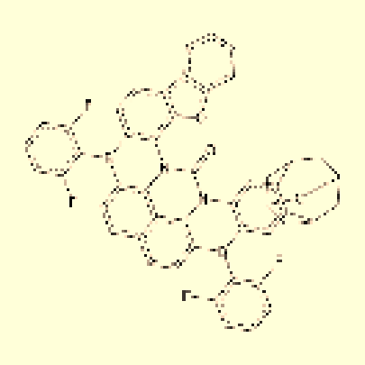 O=C1N2c3cc4c(cc3B(c3c(F)cccc3F)c3ccc5ccc6c(c5c32)N1c1c(ccc2c1oc1ccccc12)B6c1c(F)cccc1F)C1CC2CC(C1)CC4C2